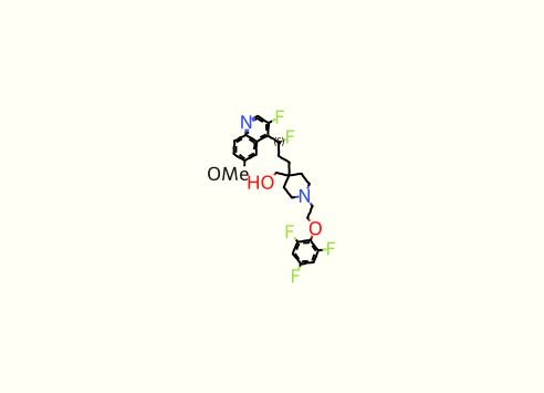 COc1ccc2ncc(F)c([C@@H](F)CCC3(CO)CCN(CCOc4c(F)cc(F)cc4F)CC3)c2c1